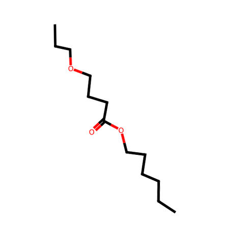 CCCCCCOC(=O)CCCOCCC